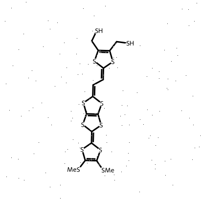 CSC1=C(SC)SC(=C2SC3=C(SC(=CC=C4SC(CS)=C(CS)S4)S3)S2)S1